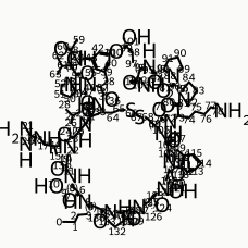 CCCC[C@@H]1NC(=O)[C@H](CO)NC(=O)[C@H](CCCNC(=N)N)NC(=O)[C@H](CC(C)C)NC(=O)C(NC(=O)[C@H](Cc2cccc(Cl)c2)NC(=O)[C@@H]2CCCN2C(=O)[C@@H](NC(C)=O)C(C)C)CCSSC[C@@H](C(=O)NC(CCCCN)C(=O)N2CCC[C@H]2C(=O)N2CCC[C@H]2C(=O)N[C@@H](CCC(=O)O)C(N)=O)NC(=O)[C@H](Cc2ccccc2)NC(=O)[C@H](CO)NC(=O)[C@H](C)NC(=O)[C@@H]2CCCN2C1=O